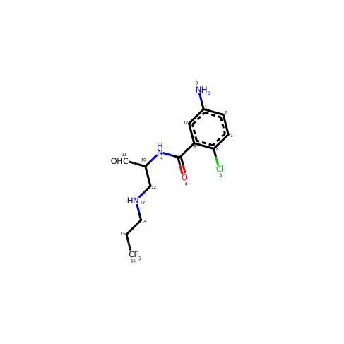 Nc1ccc(Cl)c(C(=O)NC(C=O)CNCCC(F)(F)F)c1